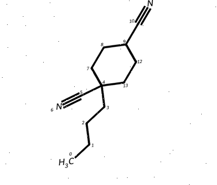 CCCCC1(C#N)CCC(C#N)CC1